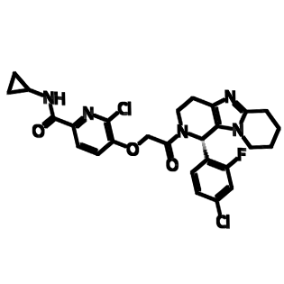 O=C(NC1CC1)c1ccc(OCC(=O)N2CCc3nc4n(c3[C@@H]2c2ccc(Cl)cc2F)CCCC4)c(Cl)n1